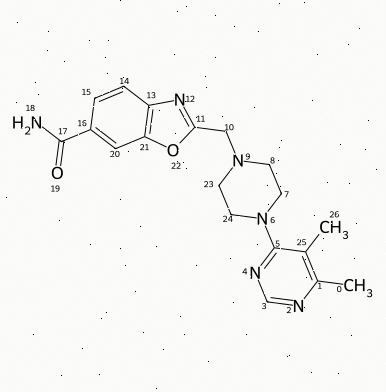 Cc1ncnc(N2CCN(Cc3nc4ccc(C(N)=O)cc4o3)CC2)c1C